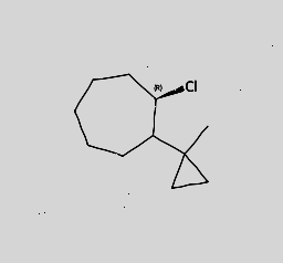 CC1(C2CCCCC[C@H]2Cl)CC1